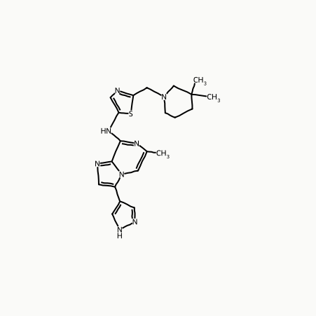 Cc1cn2c(-c3cn[nH]c3)cnc2c(Nc2cnc(CN3CCCC(C)(C)C3)s2)n1